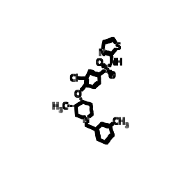 Cc1cccc(CN2CC[C@@H](Oc3ccc(S(=O)(=O)Nc4nccs4)cc3Cl)[C@@H](C)C2)c1